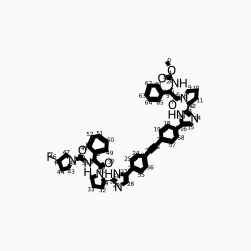 COC(=O)N[C@@H](C(=O)N1CCC[C@H]1c1ncc(-c2ccc(C#Cc3ccc(-c4cnc([C@@H]5CCCN5C(=O)[C@H](NC(=O)N5CC[C@H](F)C5)c5ccccc5)[nH]4)cc3)cc2)[nH]1)c1ccccc1